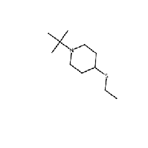 CCSC1CCN(C(C)(C)C)CC1